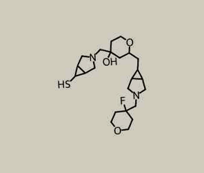 OC1(CN2CC3C(S)C3C2)CCOC(CC2C3CN(CC4(F)CCOCC4)CC23)C1